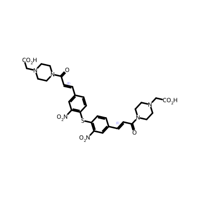 O=C(O)CN1CCN(C(=O)/C=C/c2ccc(Sc3ccc(/C=C/C(=O)N4CCN(CC(=O)O)CC4)cc3[N+](=O)[O-])c([N+](=O)[O-])c2)CC1